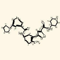 Cc1ccc(NC(=O)c2cncc(N3CCCC3)c2)cc1-c1cc(C(=O)NC2CCOCC2)on1